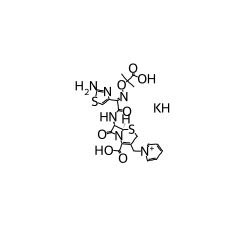 CC(C)(O/N=C(/C(=O)N[C@@H]1C(=O)N2C(C(=O)O)=C(C[n+]3ccccc3)CS[C@H]12)c1csc(N)n1)C(=O)O.[KH]